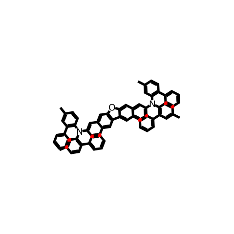 Cc1ccc(N(c2ccc3cc4c(cc3c2)oc2cc3cc(N(c5ccc(C)cc5-c5ccccc5)c5cc(C)ccc5-c5ccccc5)ccc3cc24)c2cc(C)ccc2-c2ccccc2)c(-c2ccccc2)c1